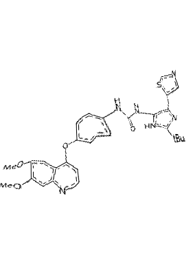 COc1cc2nccc(Oc3ccc(NC(=O)Nc4[nH]c(C(C)(C)C)nc4-c4cncs4)cc3)c2cc1OC